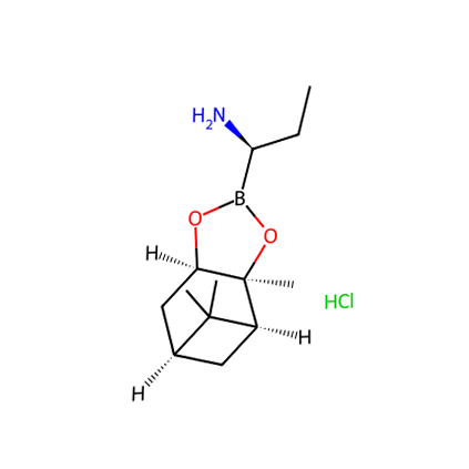 CC[C@H](N)B1O[C@@H]2C[C@@H]3C[C@@H](C3(C)C)[C@]2(C)O1.Cl